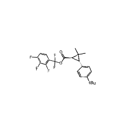 CC(C)(C)c1ccc([C@@H]2[C@@H](C(=O)OC(F)(F)c3ccc(F)c(F)c3F)C2(C)C)cc1